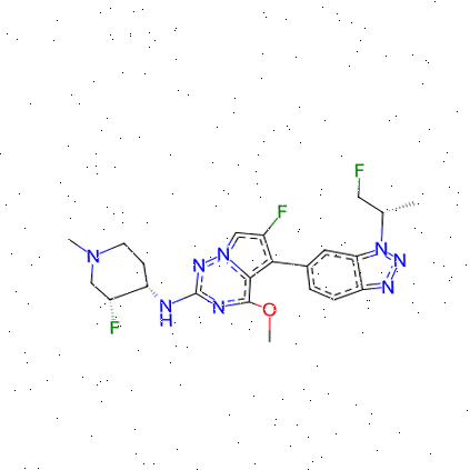 COc1nc(N[C@H]2CCN(C)C[C@H]2F)nn2cc(F)c(-c3ccc4nnn([C@@H](C)CF)c4c3)c12